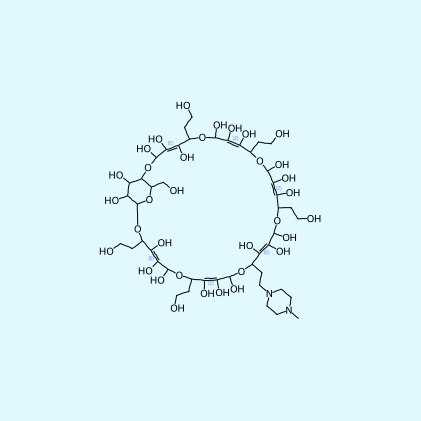 CN1CCN(CCC2OC(O)/C(O)=C(/O)C(CCO)OC(O)/C(O)=C(\O)C(CCO)OC3OC(CO)C(OC(O)/C(O)=C(\O)C(CCO)OC(O)/C(O)=C(/O)C(CCO)OC(O)/C(O)=C(/O)C(CCO)OC(O)/C(O)=C/2O)C(O)C3O)CC1